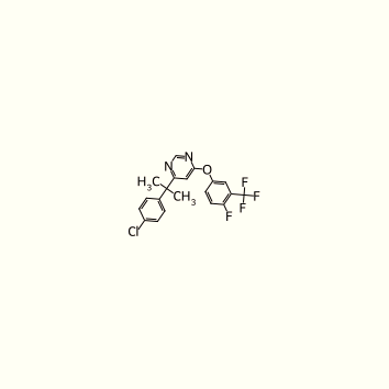 CC(C)(c1ccc(Cl)cc1)c1cc(Oc2ccc(F)c(C(F)(F)F)c2)ncn1